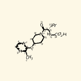 Cc1nccnc1OC1CCN(C(=O)[C@@H](NC(=O)O)C(C)C)CC1